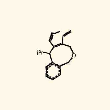 C=C/C1=C(\C=C/C)C(C(C)C)c2ccccc2COC1